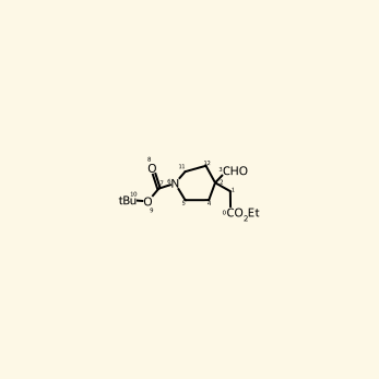 CCOC(=O)CC1(C=O)CCN(C(=O)OC(C)(C)C)CC1